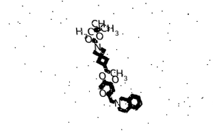 CC(Oc1coc(CN2CCc3ccccc3C2)cc1=O)C1CC2(C1)CN(C(=O)OC(C)(C)C)C2